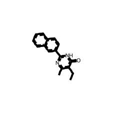 CCc1c(C)nc(-c2ccc3ccccc3c2)[nH]c1=O